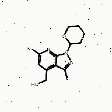 Cc1nn(C2CCCCO2)c2nc(Br)cc(CO)c12